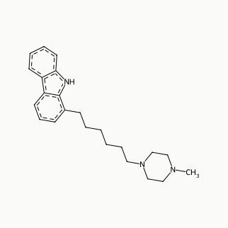 CN1CCN(CCCCCCc2cccc3c2[nH]c2ccccc23)CC1